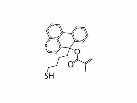 C=C(C)C(=O)OC1(CCCCS)c2ccccc2-c2cccc3cccc1c23